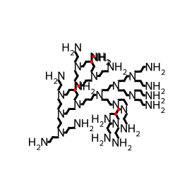 NCCCN(CCCN)CCCN(CCCN(CCCN)CCCN)CCCN(CCCCN(CCCN(CCCN(CCCN)CCCN)CCCN(CCCN)CCCN)CCCN(CCCN(CCCN)CCCN)CCCN(CCCN)CCCN)CCCN(CCCN(CCCN)CCCN)CCCN(CCCN)CCCN